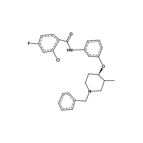 CC1CN(Cc2ccccc2)CC[C@H]1Oc1cccc(NC(=O)c2ccc(F)cc2Cl)c1